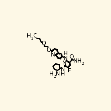 CCCCOCCOc1ccc2cc(Nc3nc(NC4CCCC[C@@H]4N)c(F)cc3C(N)=O)ccc2n1